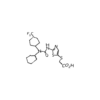 O=C(O)CSc1cnc(NC(=O)N(C2CCCCC2)C2CCC(C(F)(F)F)CC2)s1